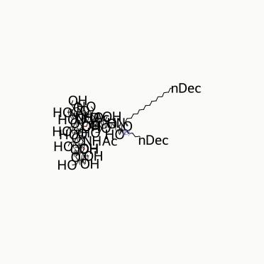 CCCCCCCCCCCCC/C=C/[C@@H](O)[C@H](CO[C@@H]1OC(CO)[C@@H](O[C@@H]2OC(CO)[C@H](O[C@@H]3OC(CO)[C@H](O)[C@H](O)C3NC(C)=O)[C@H](O[C@H]3OC(CO)[C@H](O)[C@H](O[C@@H]4OC(CO)[C@@H](O[C@@H]5OC(CO)[C@H](O)[C@H](O)C5O)[C@H](O)C4NC(C)=O)C3O)C2O)[C@H](O)C1O)NC(=O)CCCCCCCCCCCCCCCCCCCCCCCCC